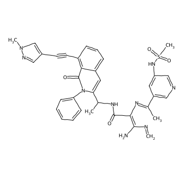 C=N/C(N)=C(\N=C(/C)c1cncc(NS(C)(=O)=O)c1)C(=O)NC(C)c1cc2cccc(C#Cc3cnn(C)c3)c2c(=O)n1-c1ccccc1